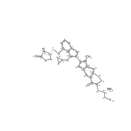 Cn1c(-c2cc3cccc(OC[C@@H]4CCC(=O)N4)c3n2CC2CC2)nc2cc3c(cc21)CCN(C[C@H](N)CF)C3=O